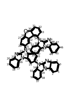 c1ccc2c(c1)nc1n(-c3ccc4c(c3)n3c5ccccc5nc3n4-c3ccc4oc5cccc(-n6c7ccccc7n7c8ccccc8nc67)c5c4c3)c3ccccc3n21